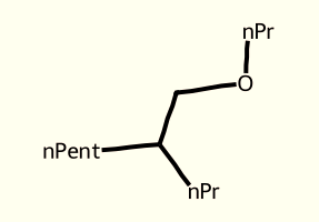 CCCCCC(CCC)COCCC